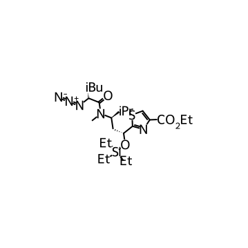 CCOC(=O)c1csc([C@@H](C[C@H](C(C)C)N(C)C(=O)C(N=[N+]=[N-])[C@@H](C)CC)O[Si](CC)(CC)CC)n1